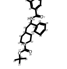 Cc1cccc(C(=O)NC(CC2CCN(C(=O)OC(C)(C)C)CC2)c2ccccc2)c1